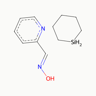 C1CC[SiH2]CC1.ON=Cc1ccccn1